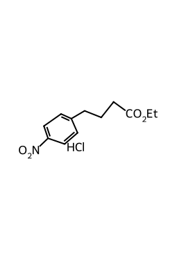 CCOC(=O)CCCc1ccc([N+](=O)[O-])cc1.Cl